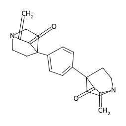 C=C1C(=O)C2(c3ccc(C45CCN(CC4)C(=C)C5=O)cc3)CCN1CC2